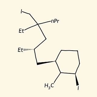 CCCC(CC)(CI)C[C@@H](CC)C[C@H]1CCC[C@@H](I)C1C